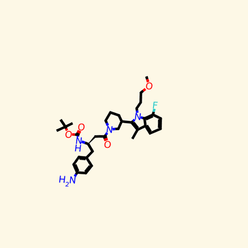 COCCCn1c(C2CCCN(C(=O)C[C@@H](Cc3ccc(N)cc3)NC(=O)OC(C)(C)C)C2)c(C)c2cccc(F)c21